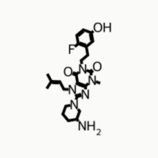 CC(C)=CCn1c(N2CCCC(N)C2)nc2c1c(=O)n(CCc1cc(O)ccc1F)c(=O)n2C